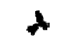 COc1ccc(S(=O)(=O)N(C)CC(CCN2CCC3(CC2)C[S+]([O-])c2ccccc23)c2ccc(Cl)c(Cl)c2)cc1